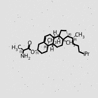 CC(C)CCC[C@@H](C)[C@H]1CC[C@H]2[C@@H]3CC=C4C[C@@H](OC(=O)[C@H](C)N)CC[C@]4(C)[C@H]3CC[C@]12C